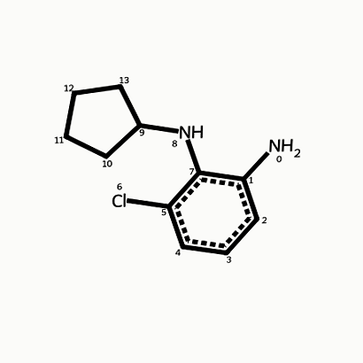 Nc1cccc(Cl)c1NC1CCCC1